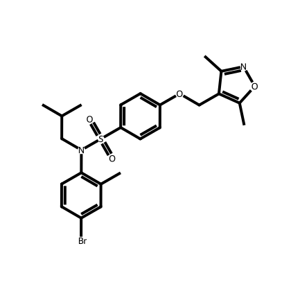 Cc1cc(Br)ccc1N(CC(C)C)S(=O)(=O)c1ccc(OCc2c(C)noc2C)cc1